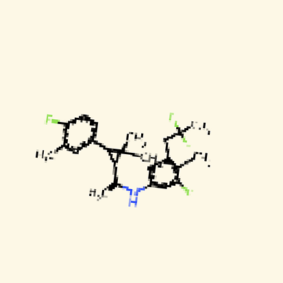 C=C(Nc1cc(F)c(C)c(CC(C)(F)F)c1)C1C(c2ccc(F)c(C)c2)C1(C)C